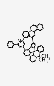 CC1(C)c2ccccc2C2(c3ccc(C4=CC5=c6ccccc6=CCC5C=C4)cc3-c3c(-c4cc(-c5ccccc5)nc(-c5ccccc5)c4)cccc32)C2C=CC=CC21